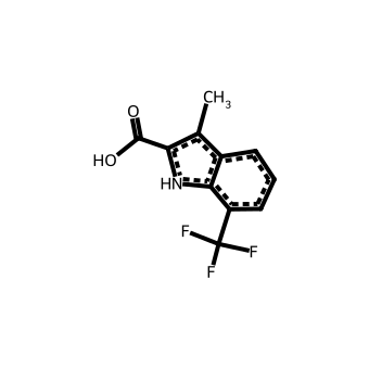 Cc1c(C(=O)O)[nH]c2c(C(F)(F)F)cccc12